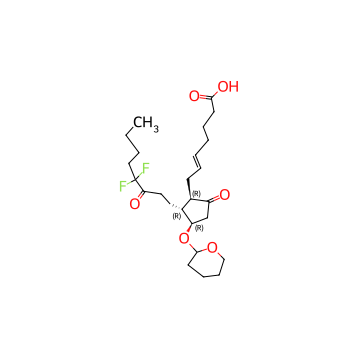 CCCCC(F)(F)C(=O)CC[C@H]1[C@H](OC2CCCCO2)CC(=O)[C@@H]1CC=CCCCC(=O)O